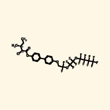 CC[C@H](C)[C@H](Cl)C(=O)Oc1ccc(-c2ccc(OCC(F)(F)OC(F)(F)C(F)(F)OC(F)(F)C(F)(F)C(F)(F)C(F)(F)F)cc2)cc1